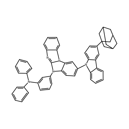 c1ccc(N(c2ccccc2)c2cccc(-n3c4ccc(-n5c6ccccc6c6cc(C78CC9CC(CC(C9)C7)C8)ccc65)cc4n4c5ccccc5nc34)c2)cc1